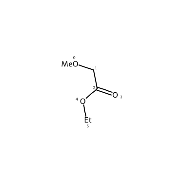 [CH]OCC(=O)OCC